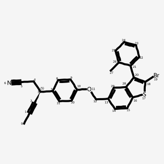 CC#C[C@@H](CC#N)c1ccc(OCc2ccc3sc(Br)c(-c4ccccc4C)c3c2)cc1